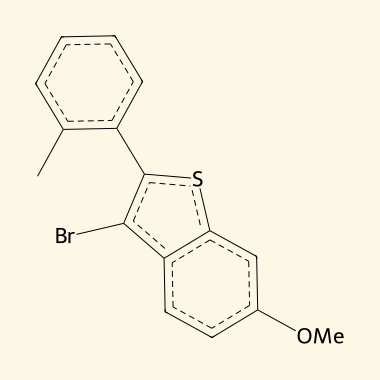 COc1ccc2c(Br)c(-c3ccccc3C)sc2c1